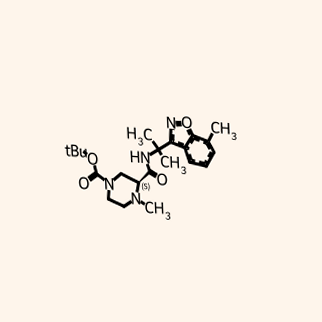 Cc1cccc2c(C(C)(C)NC(=O)[C@@H]3CN(C(=O)OC(C)(C)C)CCN3C)noc12